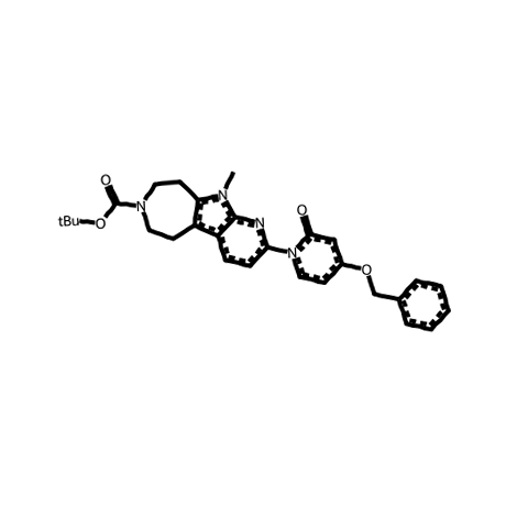 Cn1c2c(c3ccc(-n4ccc(OCc5ccccc5)cc4=O)nc31)CCN(C(=O)OC(C)(C)C)CC2